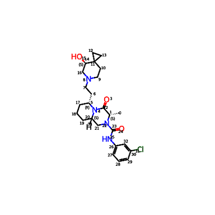 C[C@H]1C(=O)N2[C@@H](CCN3CCC4(CC4)[C@H](O)C3)CCC[C@H]2CN1C(=O)Nc1cccc(Cl)c1